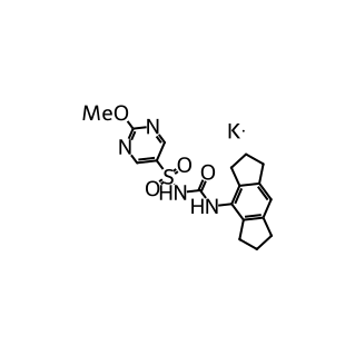 COc1ncc(S(=O)(=O)NC(=O)Nc2c3c(cc4c2CCC4)CCC3)cn1.[K]